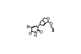 C=CCOC1OCC2CC(n3cc(Br)c(=O)[nH]c3=O)C=C21